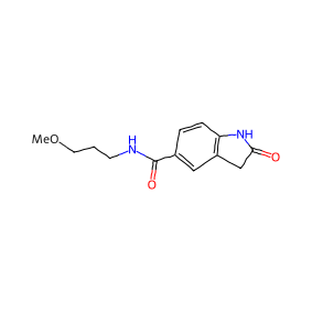 COCCCNC(=O)c1ccc2c(c1)CC(=O)N2